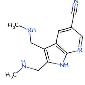 CNCc1[nH]c2ncc(C#N)cc2c1CNC